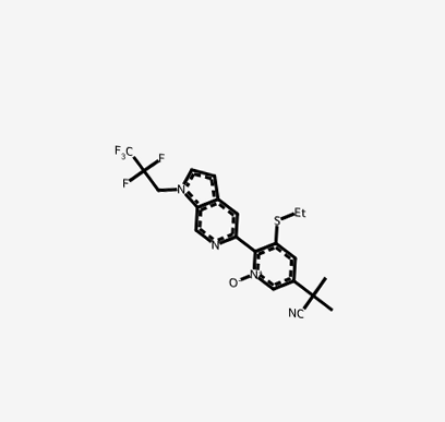 CCSc1cc(C(C)(C)C#N)c[n+]([O-])c1-c1cc2ccn(CC(F)(F)C(F)(F)F)c2cn1